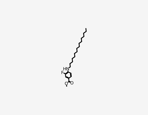 CCCCCCCCCCCCCCCCNc1ccc(C(=O)OC)cc1F